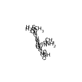 Cc1cc(CC(OC(=O)N2CCC(N3CCc4ccccc4NC3=O)CC2)C(=O)N2CCN(C3CCN(C(=O)OC(C)(C)C)CC3)CC2)cnc1N